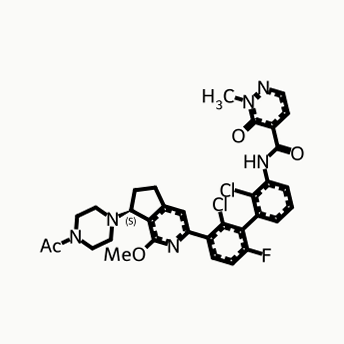 COc1nc(-c2ccc(F)c(-c3cccc(NC(=O)c4ccnn(C)c4=O)c3Cl)c2Cl)cc2c1[C@@H](N1CCN(C(C)=O)CC1)CC2